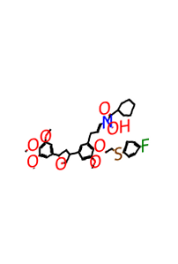 COc1cc(C2COC(c3cc(OC)c(OC)c(OC)c3)C2)cc(C/C=C/N(O)C(=O)C2CCCCC2)c1OCCSc1ccc(F)cc1